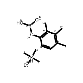 CC[PH](C)(C)C.Cc1ccc(OB(O)O)c(C)c1C